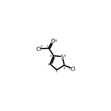 O=C(Cl)C1=CCC(Cl)S1